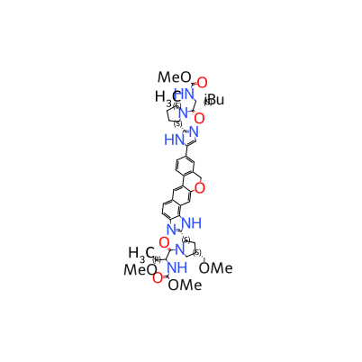 CC[C@H](C)C(NC(=O)OC)C(=O)N1[C@@H](C)CC[C@H]1c1ncc(-c2ccc3c(c2)COc2cc4c(ccc5nc([C@@H]6C[C@H](COC)CN6C(=O)C(NC(=O)OC)[C@@H](C)OC)[nH]c54)cc2-3)[nH]1